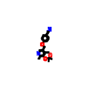 Cc1ncc(COc2ccc(C#N)cc2)c2c1OC(C)(C)OC2